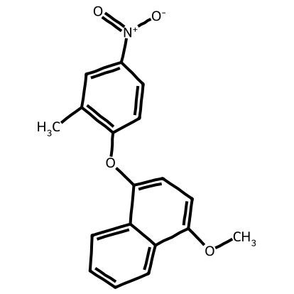 COc1ccc(Oc2ccc([N+](=O)[O-])cc2C)c2ccccc12